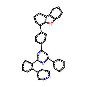 c1ccc(-c2cc(-c3ccc(-c4cccc5c4oc4ccccc45)cc3)nc(-c3ccccc3-c3ccncc3)n2)cc1